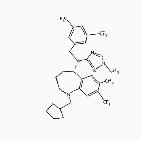 Cc1cc2c(cc1C(F)(F)F)N(CC1CCCC1)CCC[C@@H]2N(Cc1cc(C(F)(F)F)cc(C(F)(F)F)c1)c1nnn(C)n1